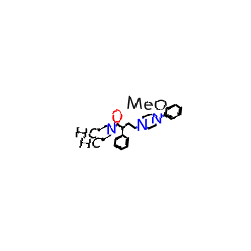 C#CCN(CC#C)C(=O)C(CCN1CCN(c2ccccc2OC)CC1)c1ccccc1